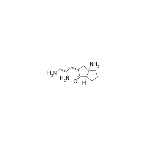 N/C=C(N)/C=C1/C[C@@]2(N)CCC[C@H]2C1=O